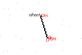 CCCCC[C@H](O)CCCCCC=CC=CC=CC=CC(=O)OO